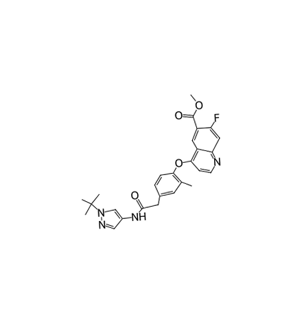 COC(=O)c1cc2c(Oc3ccc(CC(=O)Nc4cnn(C(C)(C)C)c4)cc3C)ccnc2cc1F